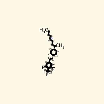 CCC/C=C/CCC(C)[C@H]1CC[C@H](CCc2cc(F)c(C(F)(F)F)c(F)c2)CC1